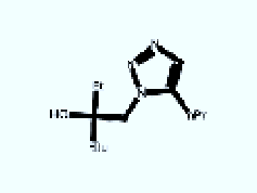 CCCc1cnnn1CC(O)(CC)C(C)(C)C